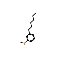 [CH2]CCCCCc1cccc(SC)c1